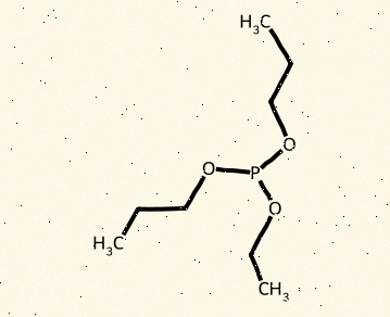 CCCOP(OCC)OCCC